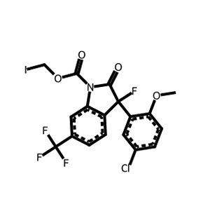 COc1ccc(Cl)cc1C1(F)C(=O)N(C(=O)OCI)c2cc(C(F)(F)F)ccc21